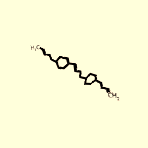 C=CCCC1CCC(CCC=CC2CCC(CCC=CC)CC2)CC1